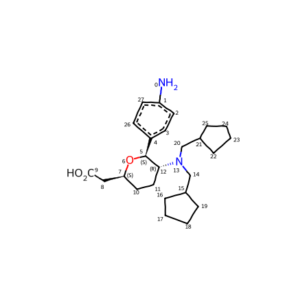 Nc1ccc([C@@H]2O[C@H](CC(=O)O)CC[C@H]2N(CC2CCCC2)CC2CCCC2)cc1